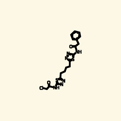 O=C(CCl)Nc1nnc(CCCCc2nnc(NC(=O)Cc3ccccc3)s2)s1